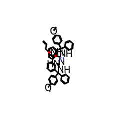 C=CCc1ccc(/C(=N\C(=N)NC(c2ccccc2)(c2ccccc2)c2ccc(OC)cc2)NC(c2ccccc2)(c2ccccc2)c2ccc(OC)cc2)[nH]1